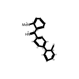 CNc1ccccc1C(=N)c1ccc(C2C=CC=CC2C)cc1